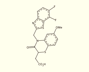 COc1ccc2c(c1)N(Cc1nc3ccc(F)c(F)c3s1)C(=O)C(CC(=O)O)S2